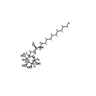 CCCCCCCCCCCNC(=O)OCC1(C)O[C@](C)(O)C(C)(O)[C@H](O)[C@]1(C)O